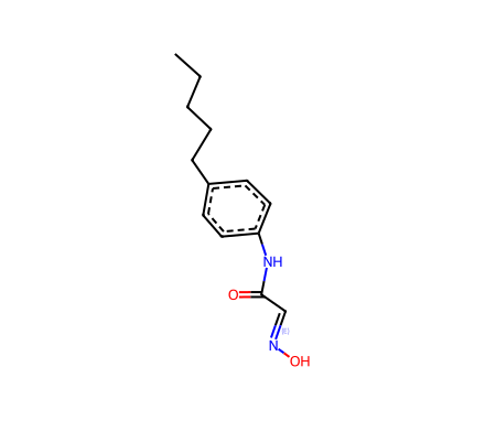 CCCCCc1ccc(NC(=O)/C=N/O)cc1